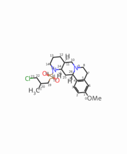 COc1ccc2c(c1)CCN1C[C@@H]3CCCN(S(=O)(=O)CC(C)CCl)[C@@H]3C[C@@H]21